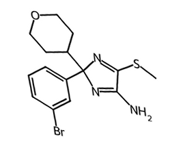 CSC1=NC(c2cccc(Br)c2)(C2CCOCC2)N=C1N